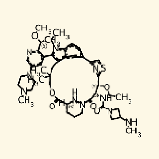 CCO[C@@H]1c2nc(cs2)-c2ccc3c(c2)c(c(-c2cc(N4CCN(C)CC4)cnc2[C@H](C)OC)n3CC)CC(C)(C)COC(=O)[C@@H]2CCCN(N2)C(=O)[C@H]1NC(=O)N1CC(NC)C1